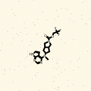 CN(c1ncnc2[nH]ccc12)C1CC2CN(C(=O)OCC(F)(F)F)CC2C1